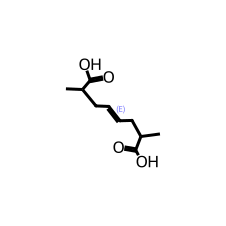 CC(C/C=C/CC(C)C(=O)O)C(=O)O